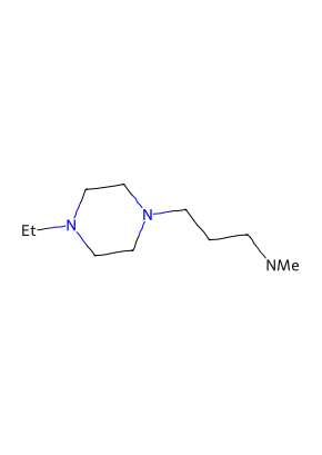 CCN1CCN(CCCNC)CC1